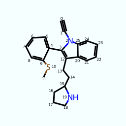 C#Cn1c(-c2ccccc2SC)c(CCC2CCCN2)c2ccccc21